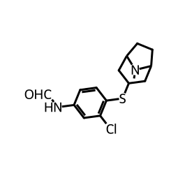 CN1C2CCC1CC(Sc1ccc(NC=O)cc1Cl)C2